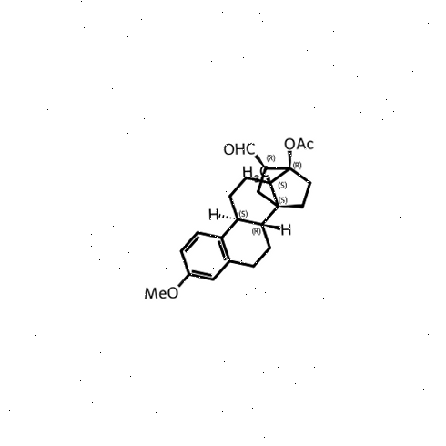 COc1ccc2c(c1)CC[C@@H]1[C@@H]2CC[C@@]2(C)[C@]13CC[C@@]2(OC(C)=O)[C@H](C=O)C3